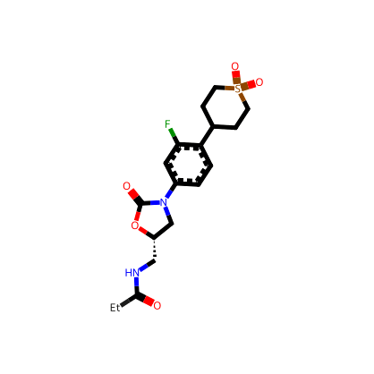 CCC(=O)NC[C@H]1CN(c2ccc(C3CCS(=O)(=O)CC3)c(F)c2)C(=O)O1